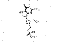 CCOP(=O)(O)OC[C@H]1C[C@@H](N2CNc3c2nc(N)[nH]c3=O)[C@@H]1CO